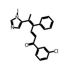 C/C(=C(/C=C/C(=O)c1cccc(Cl)c1)c1ccccc1)c1cncn1I